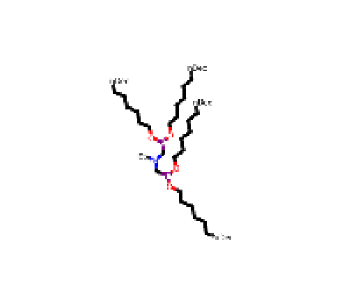 CCCCCCCCCCCCCCCCOP(CN(CC)CP(OCCCCCCCCCCCCCCCC)OCCCCCCCCCCCCCCCC)OCCCCCCCCCCCCCCCC